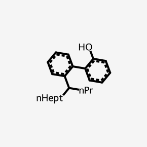 CCCCCCCC(CCC)c1ccccc1-c1ccccc1O